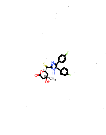 C[C@@]1(O)CC(=O)O[C@H](C(=S)c2nc(-c3ccc(F)cc3)c(-c3ccc(F)cc3)[nH]2)C1